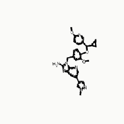 COc1ccc(C(Oc2ccc(Cn3c(N)nc4cc(-c5cnn(C)c5)cnc43)cc2OC)C2CC2)cn1